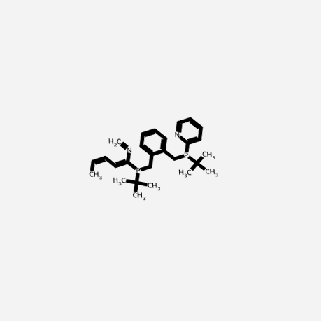 C=N/C(=C\C=C/C)P(Cc1ccccc1CP(c1ccccn1)C(C)(C)C)C(C)(C)C